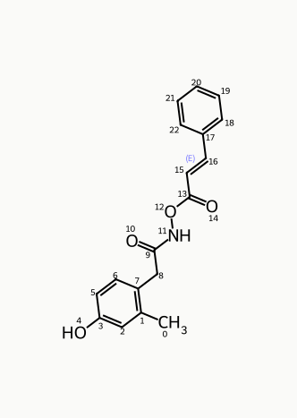 Cc1cc(O)ccc1CC(=O)NOC(=O)/C=C/c1ccccc1